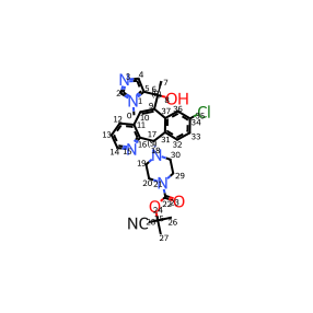 Cn1cncc1[C@](C)(O)C1=Cc2cccnc2[C@@H](N2CCN(C(=O)OC(C)(C)C#N)CC2)c2ccc(Cl)cc21